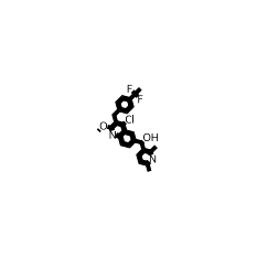 COc1nc2ccc(C(O)c3ccc(C)nc3C)cc2c(Cl)c1Cc1ccc(C(C)(F)F)cc1